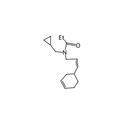 CCC(=O)N(C/C=C\C1CC=CCC1)CC1CC1